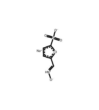 O=S(=O)([O-])c1ccc(C=[NH+][O-])o1.[Na+]